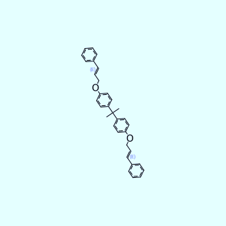 CC(C)(c1ccc(OC/C=C/c2ccccc2)cc1)c1ccc(OC/C=C/c2ccccc2)cc1